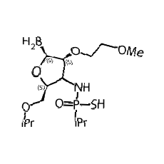 B[C@@H]1O[C@H](COC(C)C)C(NP(=O)(S)C(C)C)[C@@H]1OCCOC